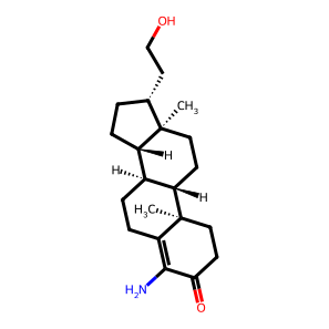 C[C@]12CC[C@H]3[C@@H](CCC4=C(N)C(=O)CC[C@@]43C)[C@@H]1CC[C@@H]2CCO